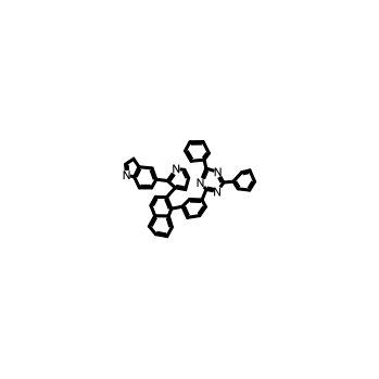 C1=Nc2ccc(-c3ncccc3-c3ccc4ccccc4c3-c3cccc(-c4nc(-c5ccccc5)nc(-c5ccccc5)n4)c3)cc2C1